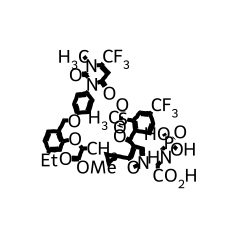 CCc1ccc(COc2ccc(-n3c(=O)cc(C(F)(F)F)n(C)c3=O)cc2)c(OC(C)C(=O)OC)c1.CS(=O)(=O)c1cc(C(F)(F)F)ccc1C(=O)c1cnoc1C1CC1.O=C(O)CNCP(=O)(O)O